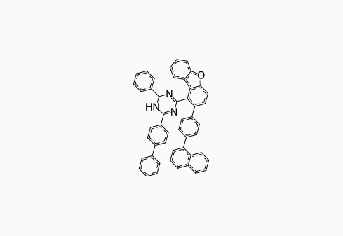 c1ccc(-c2ccc(C3=NC(c4c(-c5ccc(-c6cccc7ccccc67)cc5)ccc5oc6ccccc6c45)=NC(c4ccccc4)N3)cc2)cc1